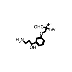 CCCC(C=O)(CCC)COc1cccc(C(O)CCN)c1